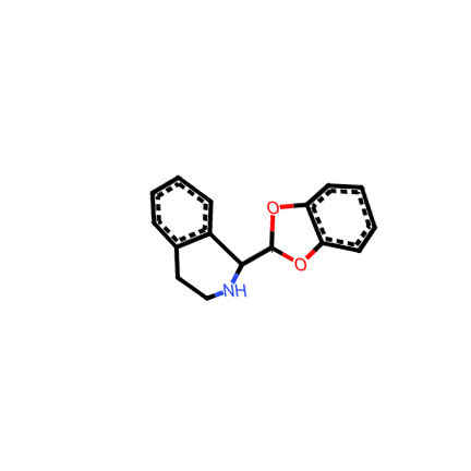 c1ccc2c(c1)CCNC2[C]1Oc2ccccc2O1